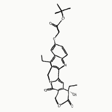 CCc1c2c(nc3ccc(OCC(=O)OC(C)(C)C)cc13)-c1cc3c(c(=O)n1C2)COC(=O)[C@]3(O)CC